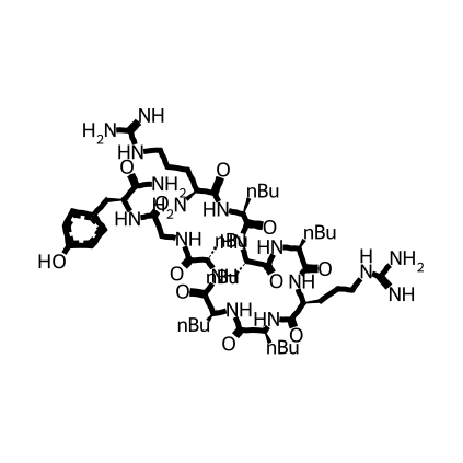 CCCC[C@H](NC(=O)[C@H](CCCC)NC(=O)[C@H](CCCC)NC(=O)[C@H](CCCNC(=N)N)NC(=O)[C@H](CCCC)NC(=O)[C@H](CCCC)NC(=O)[C@H](CCCC)NC(=O)[C@@H](N)CCCNC(=N)N)C(=O)NCC(=O)N[C@@H](Cc1ccc(O)cc1)C(N)=O